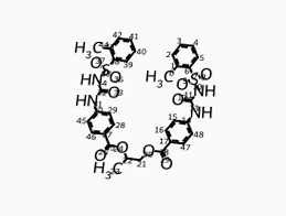 Cc1ccccc1S(=O)(=O)NC(=O)Nc1ccc(C(=O)OCC(C)OC(=O)c2ccc(NC(=O)NS(=O)(=O)c3ccccc3C)cc2)cc1